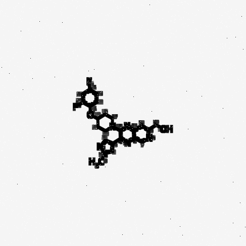 Cn1cc(-c2nc3cnc(CO)cc3nc2N2CCC(Oc3ccc(F)cc3F)CC2)cn1